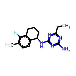 CCc1nc(N)nc(N[C@@H]2CCCc3c2ccc(C)c3F)n1